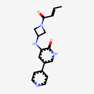 C/C=C/C(=O)N1CC(Nc2cc(-c3ccncc3)c[nH]c2=O)C1